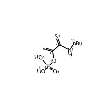 C=C(OP(=O)(O)O)C(=S)NCCCC